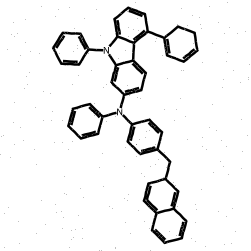 C1=CC(Cc2ccc(N(c3ccccc3)c3ccc4c5c(C6=CC=CCC6)cccc5n(-c5ccccc5)c4c3)cc2)C=c2ccccc2=1